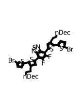 CCCCCCCCCCCCc1cc(-c2c(F)c(F)c(-c3cc(CCCCCCCCCCCC)c(-c4ccc(Br)s4)s3)c3nsnc23)sc1-c1ccc(Br)s1